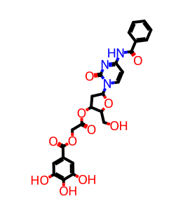 O=C(COC(=O)c1cc(O)c(O)c(O)c1)OC1CC(n2ccc(NC(=O)c3ccccc3)nc2=O)OC1CO